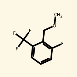 COCc1c(F)cccc1C(F)(F)F